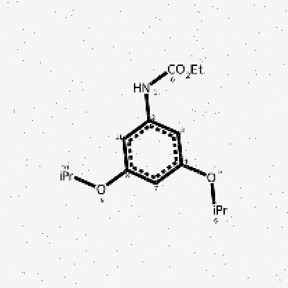 CCOC(=O)Nc1cc(OC(C)C)cc(OC(C)C)c1